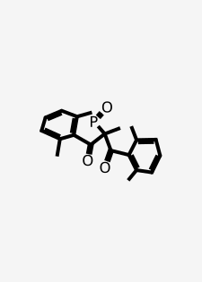 Cc1cccc(C)c1C(=O)C(C)(P=O)C(=O)c1c(C)cccc1C